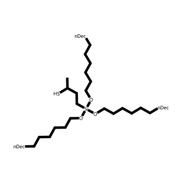 CCCCCCCCCCCCCCCCO[Si](CCC(C)S)(OCCCCCCCCCCCCCCCC)OCCCCCCCCCCCCCCCC